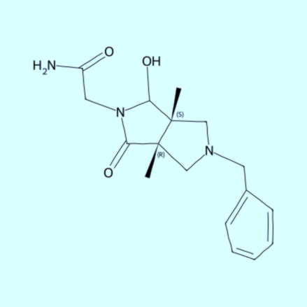 C[C@@]12CN(Cc3ccccc3)C[C@]1(C)C(=O)N(CC(N)=O)C2O